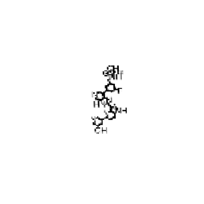 CS(=O)(=O)NCc1cc(F)cc(-c2cncc3[nH]c(-c4n[nH]c5ccc(-c6cncc(O)c6)nc45)nc23)c1